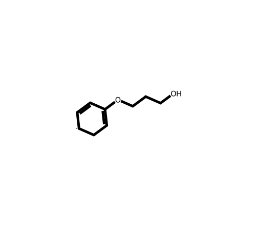 OCCCOC1=CC[CH]C=C1